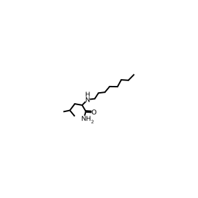 CCCCCCCCNC(CC(C)C)C(N)=O